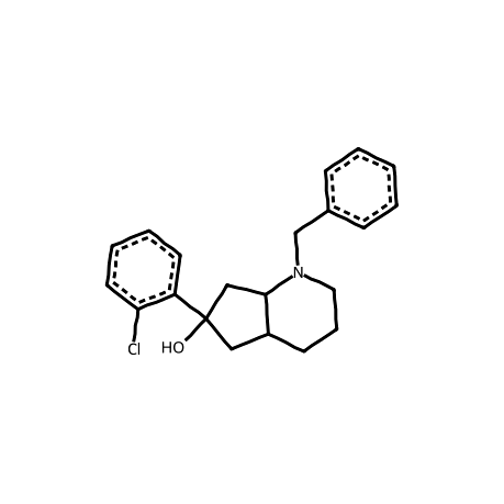 OC1(c2ccccc2Cl)CC2CCCN(Cc3ccccc3)C2C1